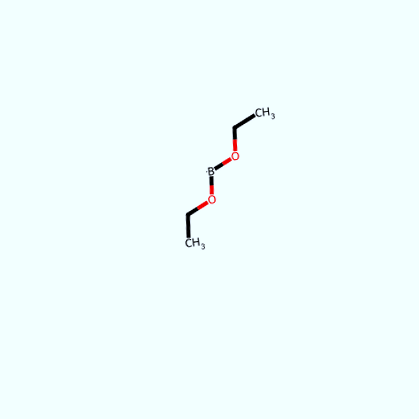 CCO[B]OCC